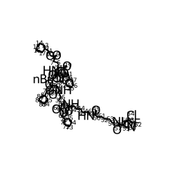 CCCCOP(=O)(N[C@@H](CCC(=O)OCc1ccccc1)C(=O)OCc1ccccc1)OCCC[C@H](NC(=O)CC[C@H](NC(=O)CCCCCNC(=O)CCCCCNC(=O)c1cnc(F)c(Cl)c1)C(=O)OCc1ccccc1)C(=O)OCc1ccccc1